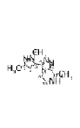 Cc1cc(-c2nnc3n2CCNC3C)n(C)n1